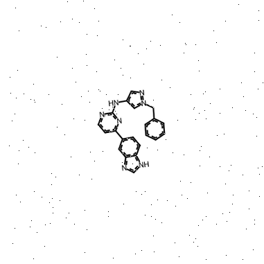 c1ccc(Cn2cc(Nc3nccc(-c4ccc5[nH]cnc5c4)n3)cn2)cc1